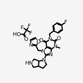 Cn1c(=O)n(Cc2ccc(F)cc2)c(=O)c2c1nc(N1CCC3CNCC31)n2Cc1ncco1.O=C(O)C(F)(F)F